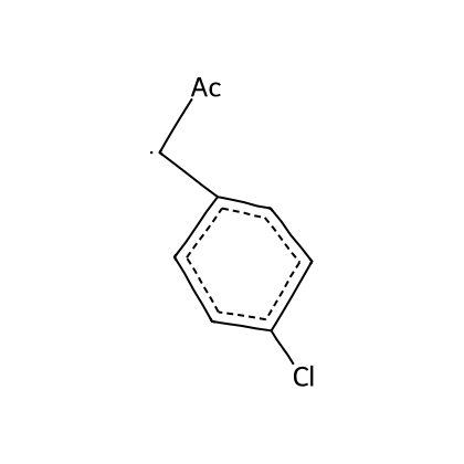 CC(=O)[CH]c1ccc(Cl)cc1